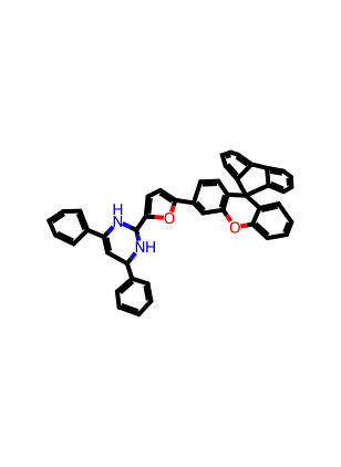 C1=C(c2ccccc2)NC(c2ccc(-c3ccc4c(c3)Oc3ccccc3C43c4ccccc4-c4ccccc43)o2)NC1c1ccccc1